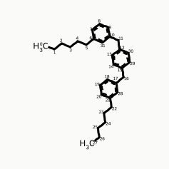 CCCCCCc1cccc(Cc2ccc(Cc3cccc(CCCCCC)c3)cc2)c1